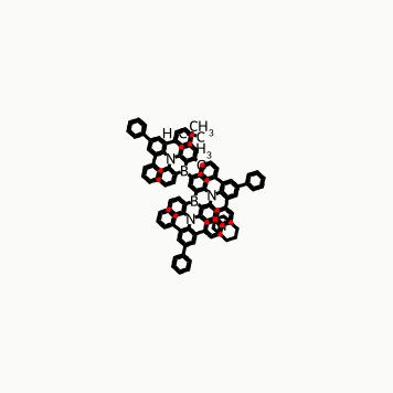 CC(C)(C)c1cc2c3c(c1)N(c1c(-c4ccccc4)cc(-c4ccccc4)cc1-c1ccccc1)c1ccccc1B3c1cc3c(cc1O2)N(c1c(-c2ccccc2)cc(-c2ccccc2)cc1-c1ccccc1)c1cc(N2C4CCCC2CCC4)cc2c1B3c1ccccc1N2c1c(-c2ccccc2)cc(-c2ccccc2)cc1-c1ccccc1